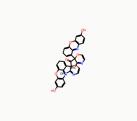 O=CC1=NC=COC1(C(=O)C1(C2=CCC=C3Oc4cc(O)ccc4N=C32)OC=CN=C1C=O)C1=CCC=C2Oc3cc(O)ccc3N=C21